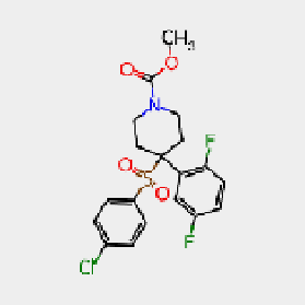 COC(=O)N1CCC(c2cc(F)ccc2F)(S(=O)(=O)c2ccc(Cl)cc2)CC1